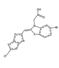 O=C(O)CN1/C(=C/c2nc3cc(Cl)sc3s2)Sc2ccc(Br)cc21